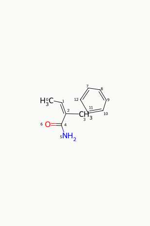 CC=C(C)C(N)=O.c1ccccc1